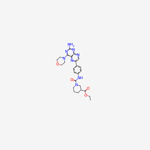 CCOC(=O)C1CCCN(C(=O)Nc2ccc(-c3cnc4nc(N)nc(N5CCOCC5)c4n3)cc2)C1